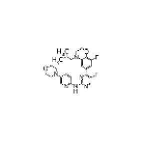 CC(C)CN1CCOc2c(F)cc(-c3nc(Nc4ccc(N5CCOCC5)cn4)ncc3F)cc21